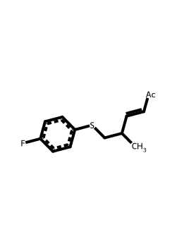 CC(=O)C=CC(C)CSc1ccc(F)cc1